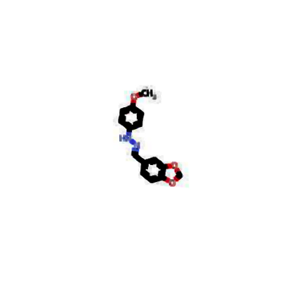 COc1ccc(NN=Cc2ccc3c(c2)OCO3)cc1